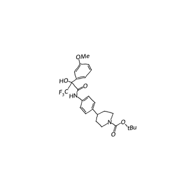 COc1cccc(C(O)(C(=O)Nc2ccc(C3CCN(C(=O)OC(C)(C)C)CC3)cc2)C(F)(F)F)c1